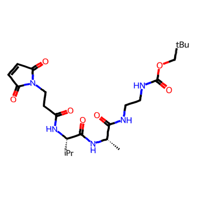 CC(C)[C@H](NC(=O)CCN1C(=O)C=CC1=O)C(=O)N[C@@H](C)C(=O)NCCNC(=O)OCC(C)(C)C